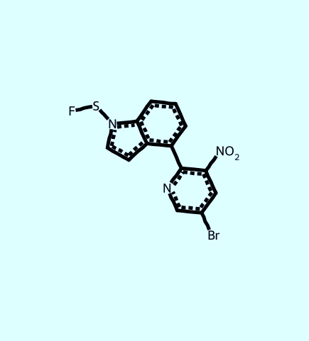 O=[N+]([O-])c1cc(Br)cnc1-c1cccc2c1ccn2SF